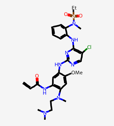 C=CC(=O)Nc1cc(Nc2ncc(Cl)c(Nc3ccccc3N(C)S(=O)(=O)CC)n2)c(OC)cc1N(C)CCN(C)C